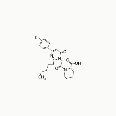 CCCCCc1nc(-c2ccc(Cl)cc2)cc(=O)n1CC(=O)N1CCCCC1C(=O)O